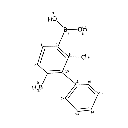 Bc1ccc(B(O)O)c(Cl)c1-c1ccccc1